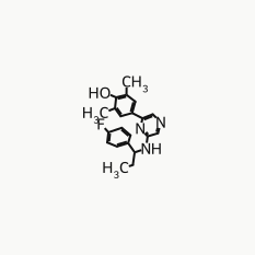 CCC(Nc1cncc(-c2cc(C)c(O)c(C)c2)n1)c1ccc(F)cc1